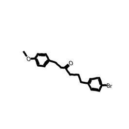 COc1ccc(CCC(=O)CCCc2ccc(Br)cc2)cc1